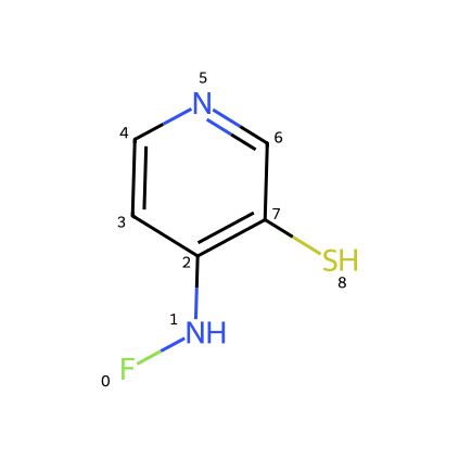 FNc1ccncc1S